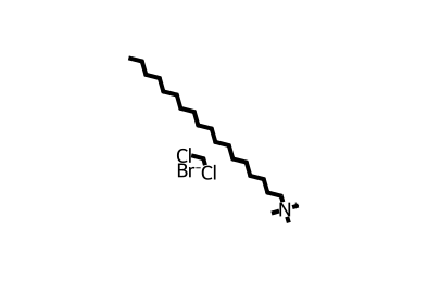 CCCCCCCCCCCCCCCCCC[N+](C)(C)C.ClCCl.[Br-]